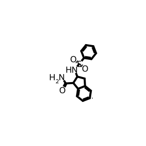 NC(=O)C1c2cc[c]cc2CC1NS(=O)(=O)c1ccccc1